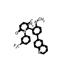 C=Nc1ccc(-c2ccc3ncccc3c2)cc1-c1c(C)ccc(=O)n1-c1cccc(C(F)(F)F)c1